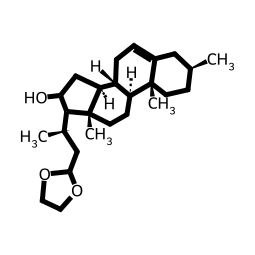 C[C@H]1CC[C@@]2(C)C(=CC[C@@H]3[C@@H]2CC[C@]2(C)C([C@H](C)CC4OCCO4)C(O)C[C@@H]32)C1